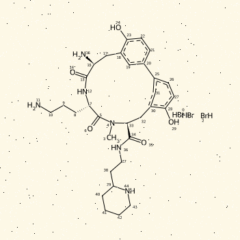 Br.Br.Br.CN1C(=O)[C@H](CCCN)NC(=O)[C@@H](N)Cc2cc(ccc2O)-c2ccc(O)c(c2)C[C@H]1C(=O)NCCC1CCCCN1